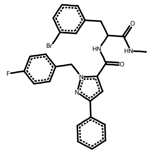 CNC(=O)C(Cc1cccc(Br)c1)NC(=O)c1cc(-c2ccccc2)nn1Cc1ccc(F)cc1